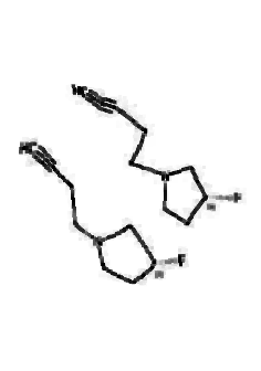 C#CCCN1CC[C@@H](F)C1.C#CCCN1CC[C@@H](F)C1